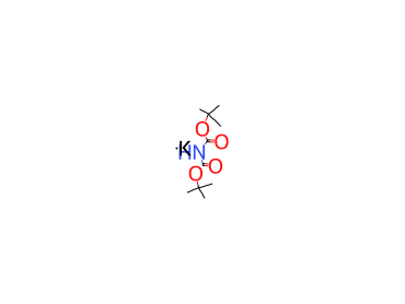 CC(C)(C)OC(=O)NC(=O)OC(C)(C)C.[K]